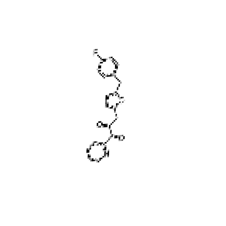 O=C(Cc1ccc(Cc2ccc(F)cc2)o1)C(=O)c1ccccn1